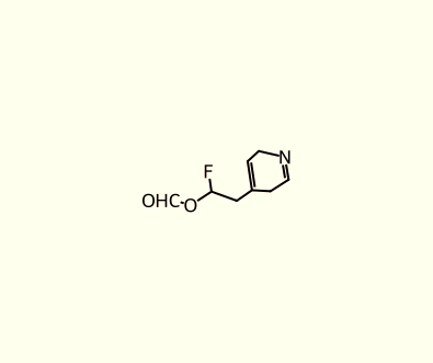 O=COC(F)CC1=CCN=CC1